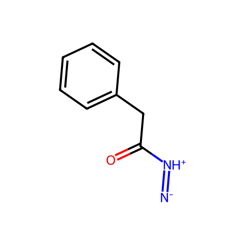 [N-]=[NH+]C(=O)Cc1ccccc1